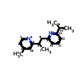 Cc1ccnc(C(C)Cc2cccc(C(C)C)n2)c1